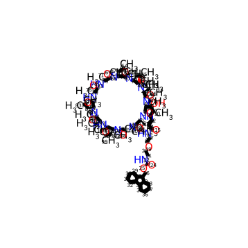 CC[C@@H]1NC(=O)[C@H]([C@H](O)[C@H](C)CC=CC(=O)NCCOCCNC(=O)OCC2c3ccccc3-c3ccccc32)N(C)C(=O)[C@H](C(C)C)N(C)C(=O)[C@H](CC(C)C)N(C)C(=O)[C@H](CC(C)C)N(C)C(=O)[C@@H](C)NC(=O)[C@H](C)NC(=O)[C@H](CC(C)C)N(C)C(=O)[C@H](C(C)C)NC(=O)[C@H](CC(C)C)N(C)C(=O)CN(C)C1=O